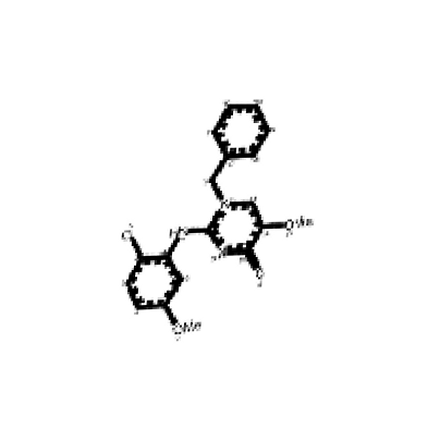 COc1ccc(Cl)c(Nc2nc(=O)c(OC)cn2Cc2ccccc2)c1